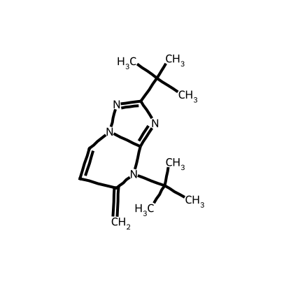 C=C1C=Cn2nc(C(C)(C)C)nc2N1C(C)(C)C